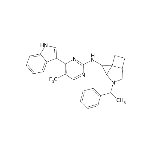 CC(c1ccccc1)N1CC2CCC23C(Nc2ncc(C(F)(F)F)c(-c4c[nH]c5ccccc45)n2)C13